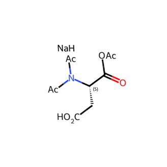 CC(=O)OC(=O)[C@H](CC(=O)O)N(C(C)=O)C(C)=O.[NaH]